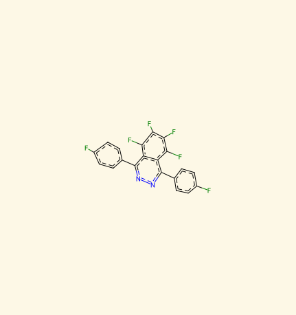 Fc1ccc(-c2nnc(-c3ccc(F)cc3)c3c(F)c(F)c(F)c(F)c23)cc1